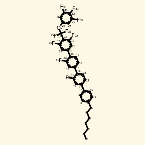 CCCCCCCc1ccc(-c2ccc(-c3ccc(-c4cc(F)c(C(F)(F)Oc5cc(F)c(F)c(F)c5)c(F)c4)c(F)c3)c(F)c2)cc1